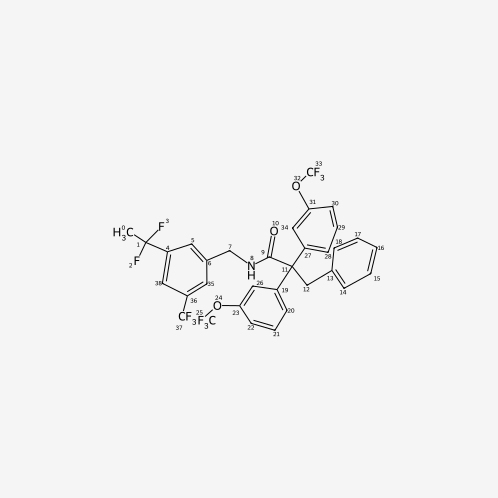 CC(F)(F)c1cc(CNC(=O)C(Cc2ccccc2)(c2cccc(OC(F)(F)F)c2)c2cccc(OC(F)(F)F)c2)cc(C(F)(F)F)c1